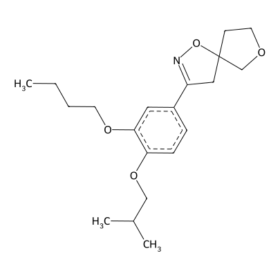 CCCCOc1cc(C2=NOC3(CCOC3)C2)ccc1OCC(C)C